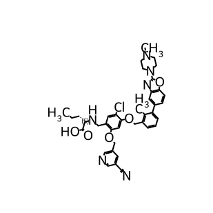 CCC[C@H](NCc1cc(Cl)c(OCc2cccc(-c3ccc4oc(N5CCN(C)CC5)nc4c3)c2C)cc1OCc1cncc(C#N)c1)C(=O)O